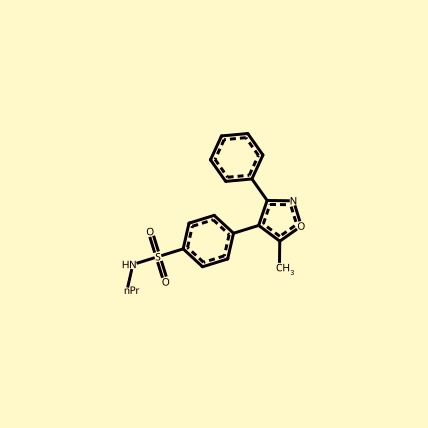 CCCNS(=O)(=O)c1ccc(-c2c(-c3ccccc3)noc2C)cc1